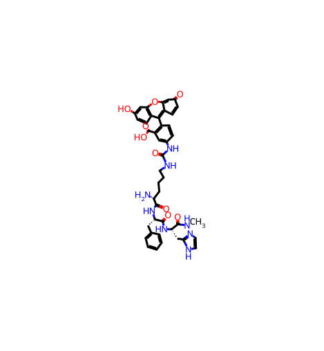 CNC(=O)[C@H](Cc1ncc[nH]1)NC(=O)[C@H](Cc1ccccc1)NC(=O)[C@H](N)CCCCNC(=O)Nc1ccc(-c2c3ccc(=O)cc-3oc3cc(O)ccc23)c(C(=O)O)c1